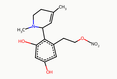 CC1=CC(c2c(O)cc(O)cc2CCO[N+](=O)[O-])N(C)CC1